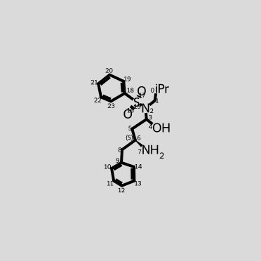 CC(C)CN(C(O)C[C@@H](N)Cc1ccccc1)S(=O)(=O)c1ccccc1